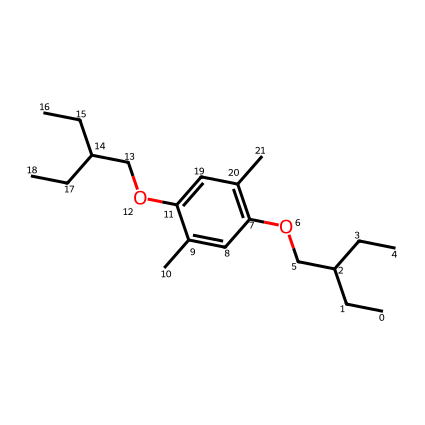 CCC(CC)COc1cc(C)c(OCC(CC)CC)cc1C